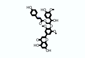 COc1cc(C(O)C(COC(=O)/C=C/c2ccc(O)cc2)Oc2c(OC)cc(-c3cc(=O)c4c(O)cc(O)cc4o3)cc2OC)ccc1O